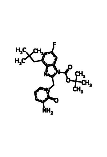 CC(C)(C)Cc1cc(F)cc2c1nc(Cn1cccc(N)c1=O)n2C(=O)OC(C)(C)C